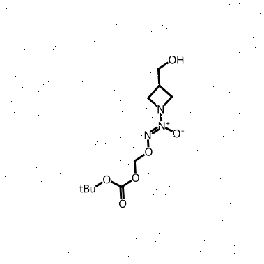 CC(C)(C)OC(=O)OCON=[N+]([O-])N1CC(CO)C1